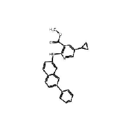 COC(=O)c1cc(C2CC2)cnc1Nc1ccc2ccc(-c3ccccc3)cc2c1